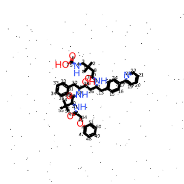 CC(C)(CNC(=O)O)CC(=O)NC(Cc1ccc(-c2ccccn2)cc1)CC(O)C(Cc1ccccc1)NC(=O)C(NC(=O)COc1ccccc1)C(C)(C)C